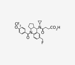 O=C(O)CCC(=O)N(C1CC1)C1c2cc(CF)ccc2N(C(=O)c2ccc(OC(F)(F)F)cc2)C2CCCC21